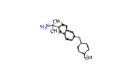 CC(C)(N)c1ccc2cc(CC3CCC(C(C)(C)C)CC3)ccc2c1